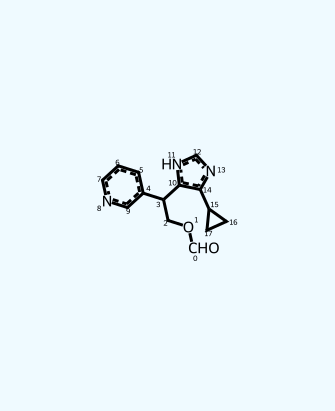 O=COCC(c1cccnc1)c1[nH]cnc1C1CC1